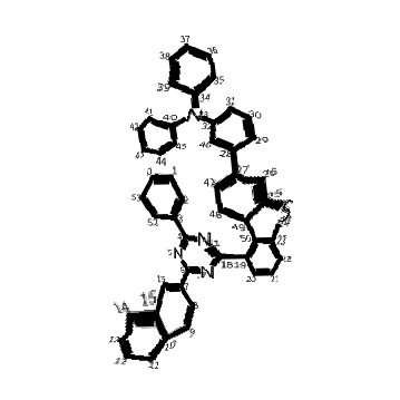 c1ccc(-c2nc(-c3ccc4ccccc4c3)nc(-c3cccc4sc5cc(-c6cccc(N(c7ccccc7)c7ccccc7)c6)ccc5c34)n2)cc1